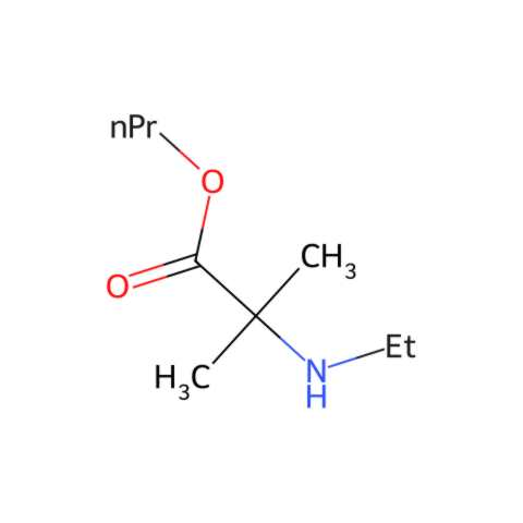 CCCOC(=O)C(C)(C)NCC